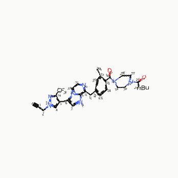 C#CCn1cc(-c2cnc3c(Cc4ccc(C(=O)N5CCN(C(=O)CCCC)CC5)c(C)c4)nccn23)c(C(F)(F)F)n1